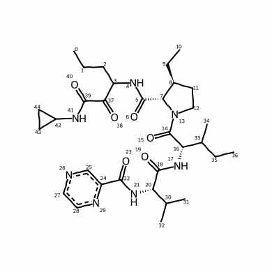 CCCC(NC(=O)[C@@H]1[C@@H](CC)CCN1C(=O)[C@@H](NC(=O)[C@@H](NC(=O)c1cnccn1)C(C)C)C(C)CC)C(=O)C(=O)NC1CC1